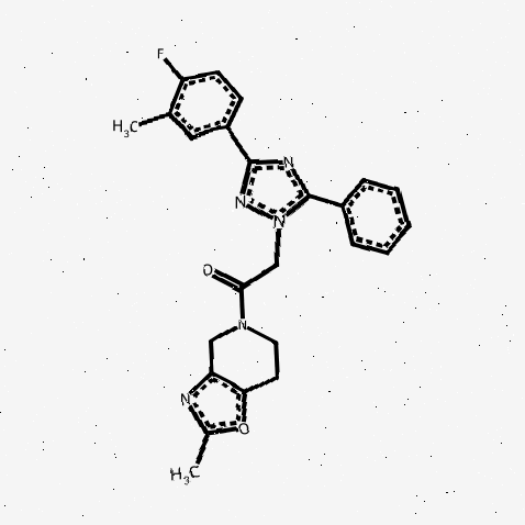 Cc1nc2c(o1)CCN(C(=O)Cn1nc(-c3ccc(F)c(C)c3)nc1-c1ccccc1)C2